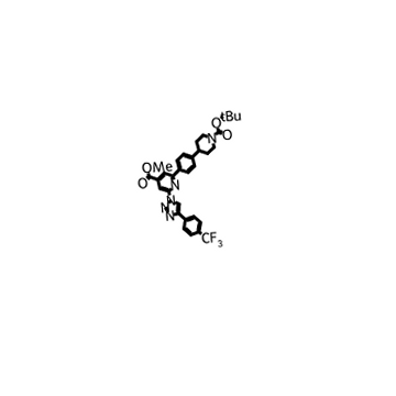 COC(=O)c1cc(-c2ccc(C3CCN(C(=O)OC(C)(C)C)CC3)cc2)nc(-n2cc(-c3ccc(C(F)(F)F)cc3)nn2)c1